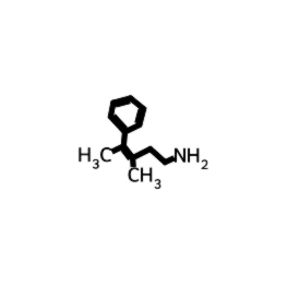 CC(CCN)=C(C)c1ccccc1